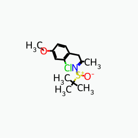 COc1ccc(CC(C)=N[S+]([O-])C(C)(C)C)c(Cl)c1